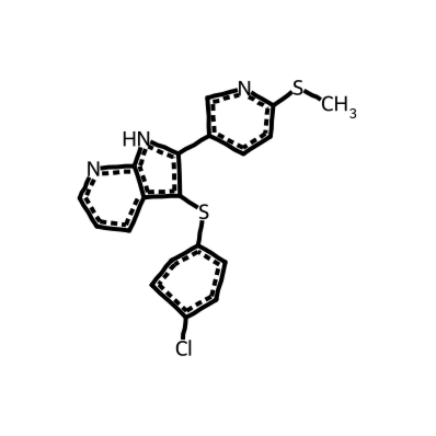 CSc1ccc(-c2[nH]c3ncccc3c2Sc2ccc(Cl)cc2)cn1